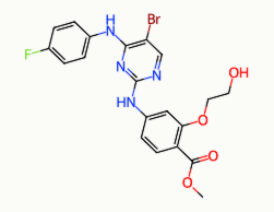 COC(=O)c1ccc(Nc2ncc(Br)c(Nc3ccc(F)cc3)n2)cc1OCCO